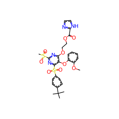 COc1ccccc1Oc1c(OCCOC(=O)c2ncc[nH]2)nc(S(C)(=O)=O)nc1S(=O)(=O)c1ccc(C(C)(C)C)cc1